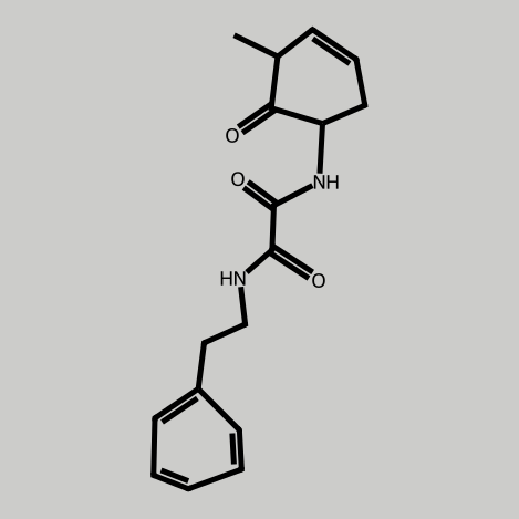 CC1C=CCC(NC(=O)C(=O)NCCc2ccccc2)C1=O